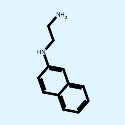 NCCNc1[c]cc2ccccc2c1